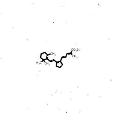 CCOC(=O)C(C)=CC=CC1=C(/C=C/C2=C(C)CCCC2(C)C)CCC1